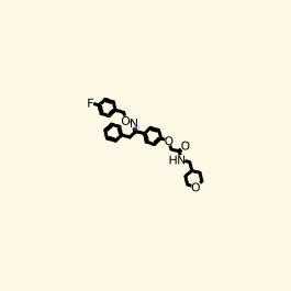 O=C(COc1ccc(/C(Cc2ccccc2)=N/OCc2ccc(F)cc2)cc1)NCC1CCOCC1